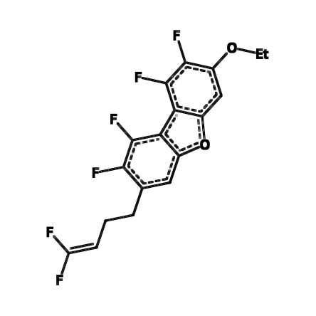 CCOc1cc2oc3cc(CCC=C(F)F)c(F)c(F)c3c2c(F)c1F